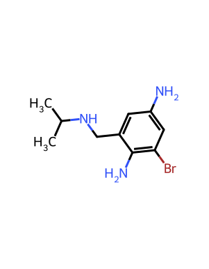 CC(C)NCc1cc(N)cc(Br)c1N